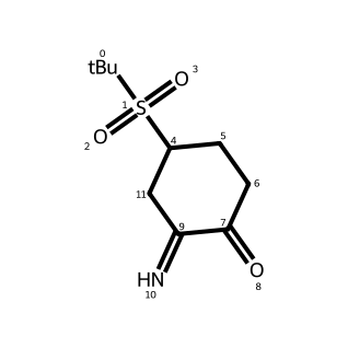 CC(C)(C)S(=O)(=O)C1CCC(=O)C(=N)C1